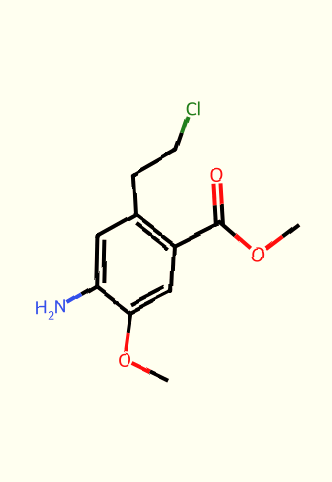 COC(=O)c1cc(OC)c(N)cc1CCCl